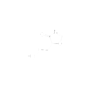 COCC1OC=NC1=O